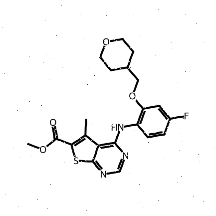 COC(=O)c1sc2ncnc(Nc3ccc(F)cc3OCC3CCOCC3)c2c1C